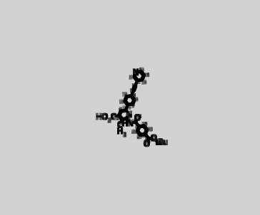 Cc1c(C(=O)O)cc(-c2ccc(C#Cc3cccnc3)cc2)nc1NC(=O)c1ccc(C(=O)OC(C)(C)C)cc1